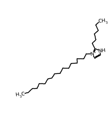 CCCCCCCCCCCCCCCCC[n+]1cc[nH]c1CCCCCC